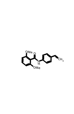 C=Cc1ccc(NC(=O)c2c(OC)cccc2OC)cc1